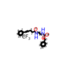 O=C(CCC#Cc1ccccc1C(F)(F)F)NCCNC(=O)OCc1ccccc1